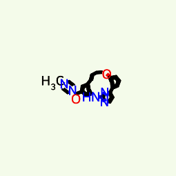 CN1CCN(C(=O)c2cc3cc(c2)Nc2nccc(n2)-c2cccc(c2)OCC/C=C/3)CC1